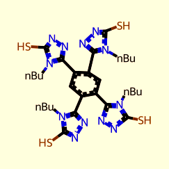 CCCCn1c(S)nnc1-c1cc(-c2nnc(S)n2CCCC)c(-c2nnc(S)n2CCCC)cc1-c1nnc(S)n1CCCC